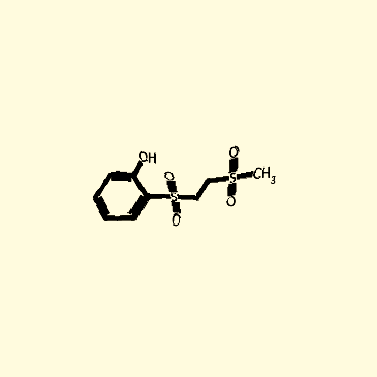 CS(=O)(=O)CCS(=O)(=O)c1ccccc1O